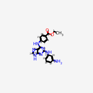 CCOC(=O)c1ccc(Nc2nc(Nc3cccc(N)c3)nc3[nH]cnc23)cc1